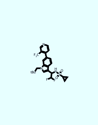 CC(C)(C)Cn1cc(C(NS(=O)(=O)C2CC2)C(F)F)c2ccc(-c3ccncc3C(F)(F)F)cc21